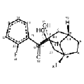 O=C(O)N1[C@@H]2CC[C@H]1C[C@](O)(C(=O)c1ccccc1F)C2